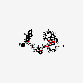 C=C1C=C[C@@]2(C)C(=C1)[C@@H](F)C[C@H]1[C@@H]3C[C@H]4O[C@@H](c5cccc(F)c5)O[C@@]4(C(=O)COCNC(=O)CNC(=O)[C@H](Cc4ccccc4)NC(=O)CNC(=O)CNC(=O)CCc4ccc(N5C(=O)C=CC5=O)cc4OCCCC(=O)N(C)CC(=O)N(C)CC(=O)N(C)CC(=O)N(C)CC(=O)N(C)CC(=O)N(C)CC(=O)N(C)CC(=O)N(C)CC(=O)N(C)CC(=O)N(C)CC(=O)O)[C@@]3(C)C[C@H](O)[C@@]12F